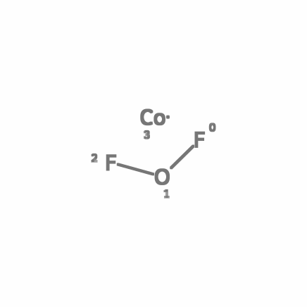 FOF.[Co]